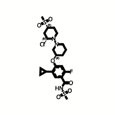 CS(=O)(=O)NC(=O)c1cc(C2CC2)c(O[C@@H]2CCCN(N3CC[C@@H](S(C)(=O)=O)C[C@H]3Cl)C2)cc1F